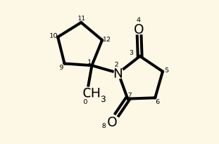 CC1(N2C(=O)CCC2=O)CCCC1